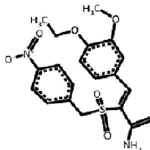 CCOc1ccc(/C=C(/C(N)=O)S(=O)(=O)Cc2ccc([N+](=O)[O-])cc2)cc1OC